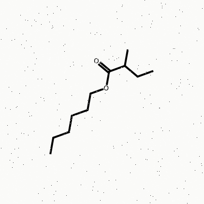 CCCCCCOC(=O)C(C)CC